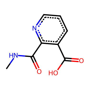 CNC(=O)c1ncccc1C(=O)O